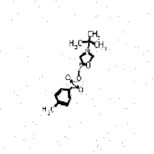 Cc1ccc(S(=O)(=O)OC[C@@H]2CN(C(C)(C)C)CO2)cc1